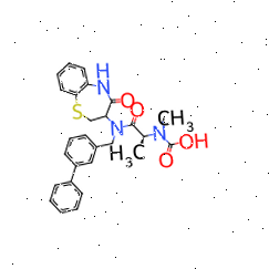 C[C@@H](C(=O)N(Cc1cccc(-c2ccccc2)c1)C1CSc2ccccc2NC1=O)N(C)C(=O)O